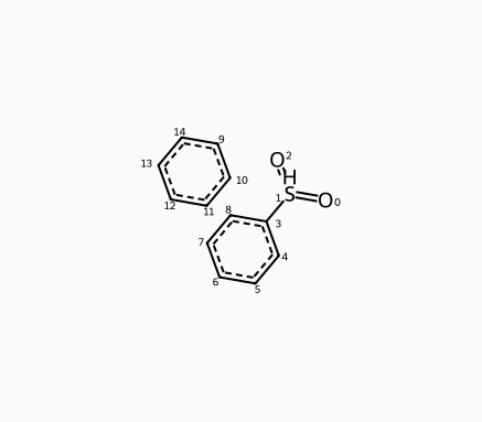 O=[SH](=O)c1ccccc1.c1ccccc1